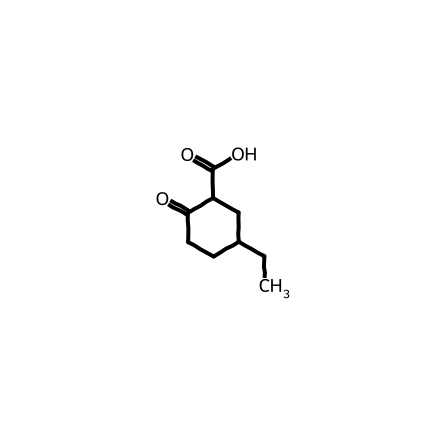 CCC1CCC(=O)C(C(=O)O)C1